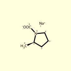 C[C@@H]1CCCN1C(=O)[O-].[Na+]